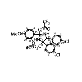 CCOC(=O)C1(c2ccc(Cl)cc2)NC(OC(=O)C(F)(F)F)(c2ccc(OC)cc2OC(C)C)NC1c1ccc(Cl)cc1